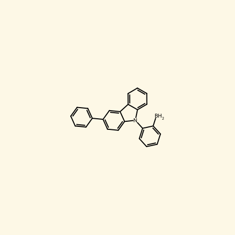 Bc1ccccc1-n1c2ccccc2c2cc(-c3ccccc3)ccc21